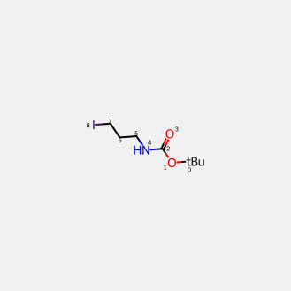 CC(C)(C)OC(=O)NCCCI